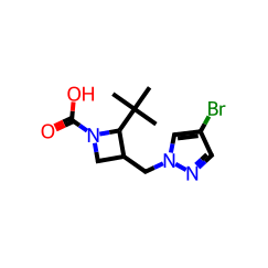 CC(C)(C)C1C(Cn2cc(Br)cn2)CN1C(=O)O